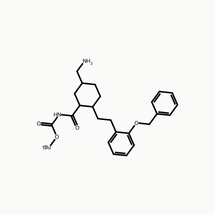 CC(C)(C)OC(=O)NC(=O)C1CC(CN)CCC1CCc1ccccc1OCc1ccccc1